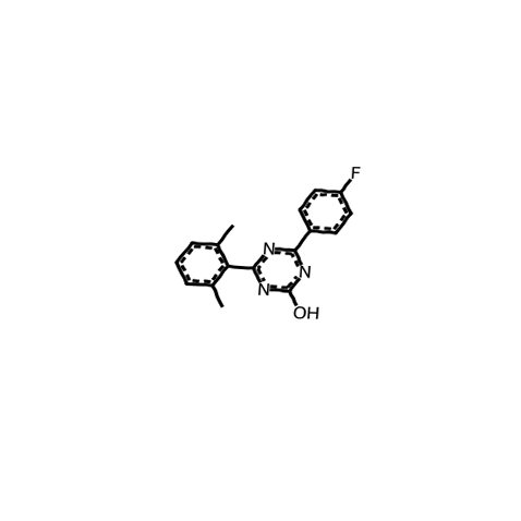 Cc1cccc(C)c1-c1nc(O)nc(-c2ccc(F)cc2)n1